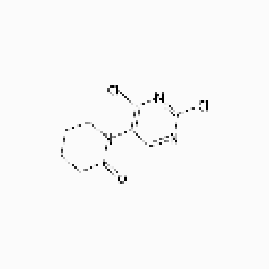 O=C1CCCCN1c1cnc(Cl)nc1Cl